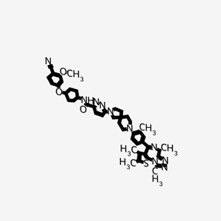 COc1cc(OC2CCC(NC(=O)c3ccc(N4CCC5(CCN(c6ccc(C7=N[C@@H](C)c8nnc(C)n8-c8sc(C)c(C)c87)cc6C)CC5)C4)nn3)CC2)ccc1C#N